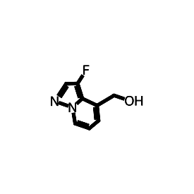 OCc1cccn2ncc(F)c12